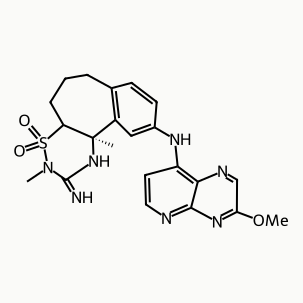 COc1cnc2c(Nc3ccc4c(c3)[C@@]3(C)NC(=N)N(C)S(=O)(=O)C3CCC4)ccnc2n1